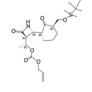 C=CCOC(=O)O[C@H](C)[C@H]1C(=O)N[C@@H]1[C@H]1CCC[C@H](CO[Si](C)(C)C(C)(C)C)C1=O